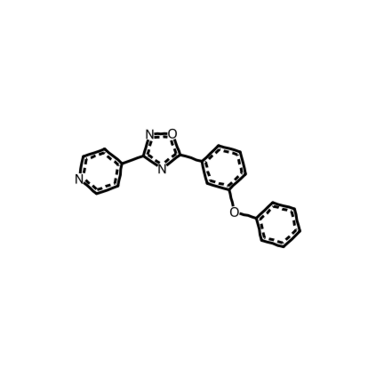 c1ccc(Oc2cccc(-c3nc(-c4ccncc4)no3)c2)cc1